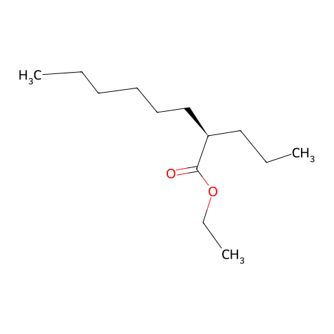 CCCCCC[C@@H](CCC)C(=O)OCC